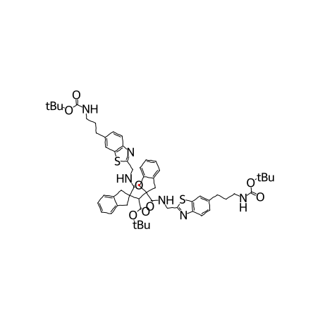 CC(C)(C)OC(=O)NCCCc1ccc2nc(CNC(=O)C3(C(C(=O)OC(C)(C)C)C4(C(=O)NCc5nc6ccc(CCCNC(=O)OC(C)(C)C)cc6s5)Cc5ccccc5C4)Cc4ccccc4C3)sc2c1